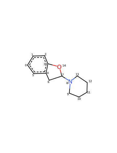 c1ccc2c(c1)CC(N1CCCCC1)O2